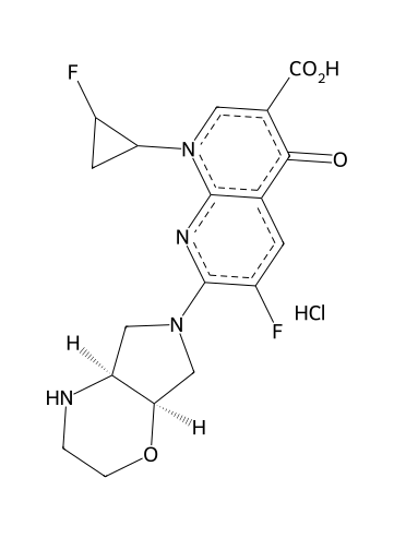 Cl.O=C(O)c1cn(C2CC2F)c2nc(N3C[C@@H]4NCCO[C@@H]4C3)c(F)cc2c1=O